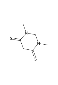 CN1CN(C)C(=S)CC1=S